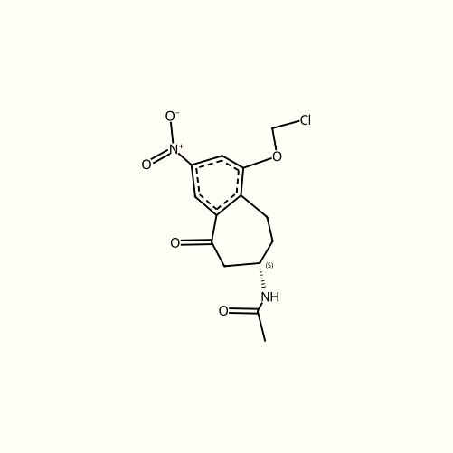 CC(=O)N[C@H]1CCc2c(OCCl)cc([N+](=O)[O-])cc2C(=O)C1